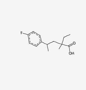 CCC(C)(CC(C)c1ccc(F)cc1)C(=O)O